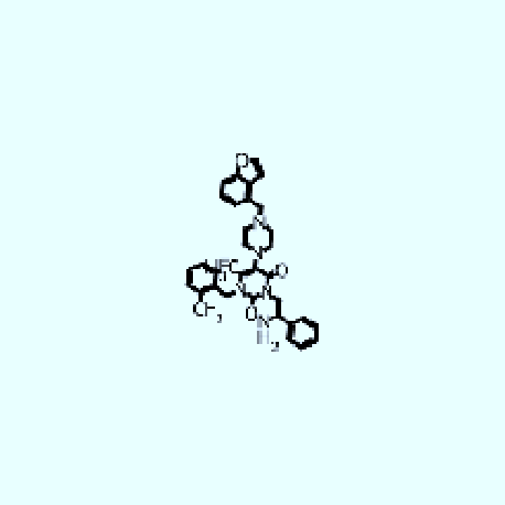 Cc1c(N2CCN(Cc3cccc4occc34)CC2)c(=O)n(C[C@H](N)c2ccccc2)c(=O)n1Cc1c(F)cccc1C(F)(F)F